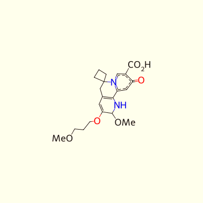 COCCCOC1=CC2=C(NC1OC)c1cc(=O)c(C(=O)O)cn1C1(CCC1)C2